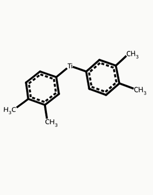 Cc1cc[c]([Ti][c]2ccc(C)c(C)c2)cc1C